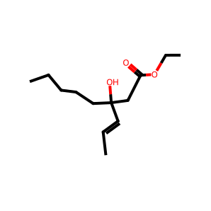 CC=CC(O)(CCCCC)CC(=O)OCC